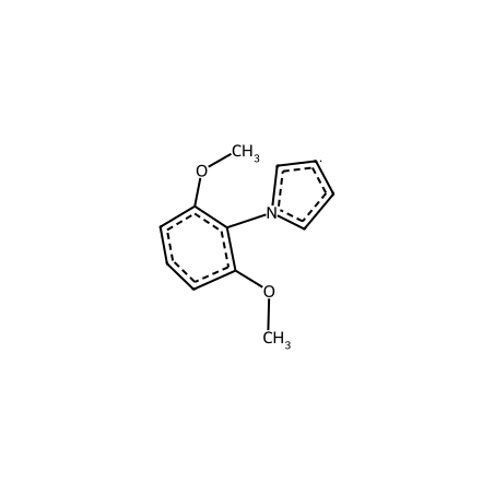 COc1cccc(OC)c1-n1c[c]cc1